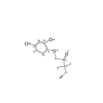 CC(C)(CF)C(=O)COc1ccc(Cl)cc1Cl